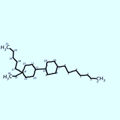 CCCCCCCC1CCC(C2CCC(CC)(CCCCC)CC2)CC1